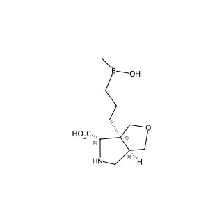 CB(O)CCC[C@]12COC[C@H]1CN[C@@H]2C(=O)O